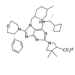 CC1CCC(Cn2c(N3CCOC[C@H]3c3ccccc3)nc3nc(N4CC(C(=O)O)C(C)(C)C4)nc(N[C@H](C)C4CCC4)c32)CC1